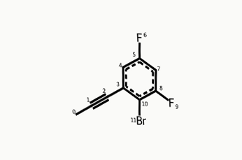 CC#Cc1cc(F)cc(F)c1Br